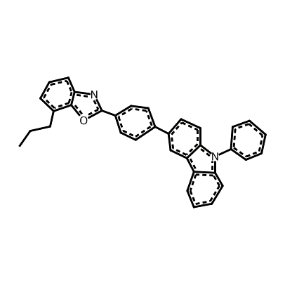 CCCc1cccc2nc(-c3ccc(-c4ccc5c(c4)c4ccccc4n5-c4ccccc4)cc3)oc12